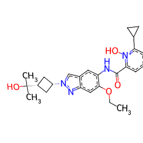 CCOc1cc2nn([C@H]3C[C@@H](C(C)(C)O)C3)cc2cc1NC(=O)c1cccc(C2CC2)[n+]1O